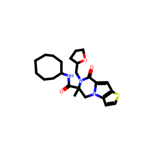 CC1(C(=O)NC2CCCCCCC2)Cn2c(cc3sccc32)C(=O)N1CC1CCCO1